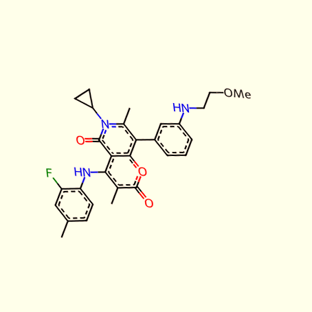 COCCNc1cccc(-c2c(C)n(C3CC3)c(=O)c3c(Nc4ccc(C)cc4F)c(C)c(=O)oc23)c1